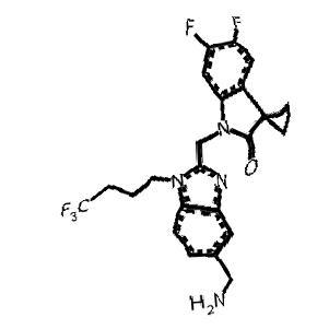 NCc1ccc2c(c1)nc(CN1C(=O)C3(CC3)c3cc(F)c(F)cc31)n2CCCC(F)(F)F